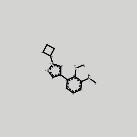 CNc1cccc(-c2cnn(C3CCC3)c2)c1OC